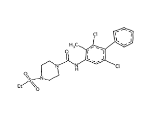 CCS(=O)(=O)N1CCN(C(=O)Nc2cc(Cl)c(-c3ccccc3)c(Cl)c2C)CC1